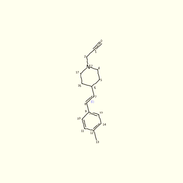 C#CCN1CCC(/C=C/c2ccc(C)cc2)CC1